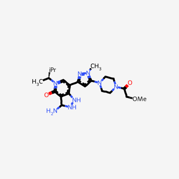 COCC(=O)N1CCN(c2cc(-c3cn([C@@H](C)C(C)C)c(=O)c4c3NNC4N)nn2C)CC1